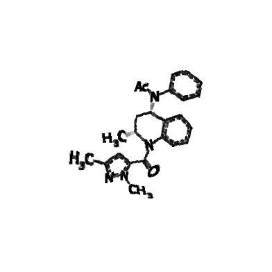 CC(=O)N(c1ccccc1)[C@H]1C[C@@H](C)N(C(=O)c2cc(C)nn2C)c2ccccc21